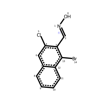 O/N=C/c1c(Cl)cc2ccccc2c1Br